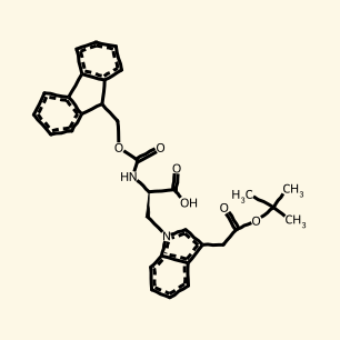 CC(C)(C)OC(=O)Cc1cn(C[C@@H](NC(=O)OCC2c3ccccc3-c3ccccc32)C(=O)O)c2ccccc12